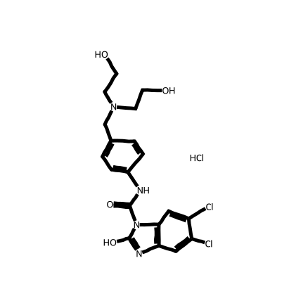 Cl.O=C(Nc1ccc(CN(CCO)CCO)cc1)n1c(O)nc2cc(Cl)c(Cl)cc21